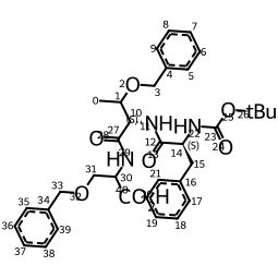 CC(OCc1ccccc1)[C@H](NC(=O)[C@H](Cc1ccccc1)NC(=O)OC(C)(C)C)C(=O)NC(COCc1ccccc1)C(=O)O